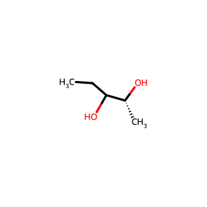 CCC(O)[C@@H](C)O